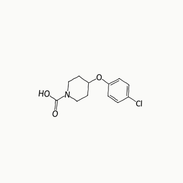 O=C(O)N1CCC(Oc2ccc(Cl)cc2)CC1